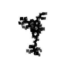 CC(C)C(O[C@@H]1[C@@H]2O[C@H]3CC[C@H](CCOC(=O)C(C)(C)C)O[C@@H]3[C@@H](O)[C@@H]2O[C@@H]1C[C@@H](O)CO)C(C)C